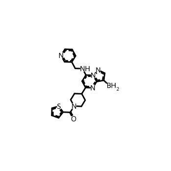 Bc1cnn2c(NCc3cccnc3)cc(C3CCN(C(=O)c4cccs4)CC3)nc12